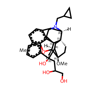 COc1ccc2c3c1O[C@H]1[C@@]4(OC)CC[C@@]5(C[C@@H]4[C@](O)(CC(O)CO)c4ccccc4)[C@@H](C2)N(CC2CC2)CC[C@]315